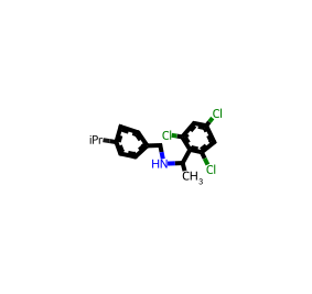 CC(C)c1ccc(CNC(C)c2c(Cl)cc(Cl)cc2Cl)cc1